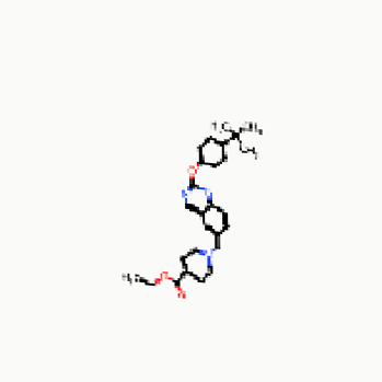 CCOC(=O)C1CCN(Cc2ccc3nc(OC4CCC(C(C)(C)C)CC4)ncc3c2)CC1